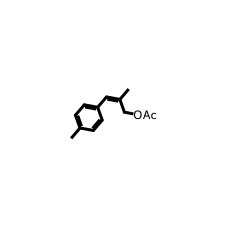 CC(=O)OCC(C)=Cc1ccc(C)cc1